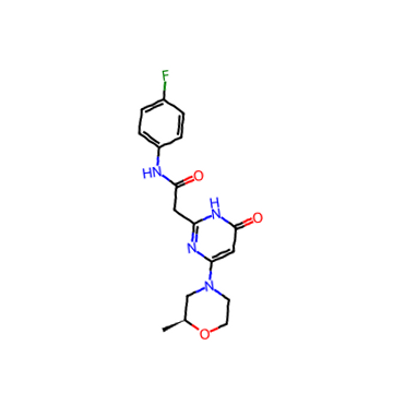 C[C@H]1CN(c2cc(=O)[nH]c(CC(=O)Nc3ccc(F)cc3)n2)CCO1